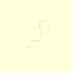 O=C(O)/C=C/c1c(Br)cncc1Br